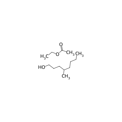 CCCCC(C)CCCO.CCOC(C)=O